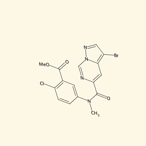 COC(=O)c1cc(N(C)C(=O)c2cc3c(Br)cnn3cn2)ccc1Cl